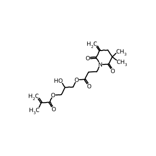 C=C(C)C(=O)OCC(O)COC(=O)CCN1C(=O)C(=C)CC(C)(C)C1=O